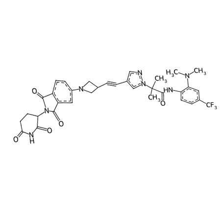 CN(C)c1cc(C(F)(F)F)ccc1NC(=O)C(C)(C)n1cc(C#CC2CN(c3ccc4c(c3)C(=O)N(C3CCC(=O)NC3=O)C4=O)C2)cn1